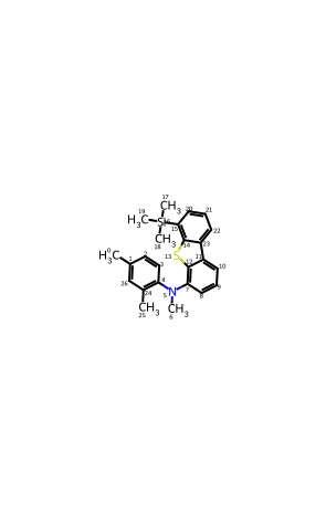 Cc1ccc(N(C)c2cccc3c2sc2c([Si](C)(C)C)cccc23)c(C)c1